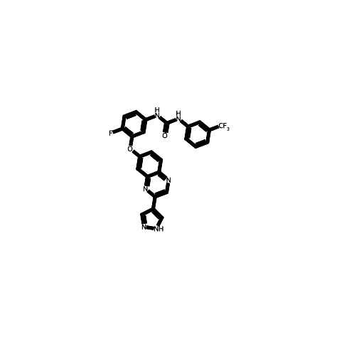 O=C(Nc1cccc(C(F)(F)F)c1)Nc1ccc(F)c(Oc2ccc3ncc(-c4cn[nH]c4)nc3c2)c1